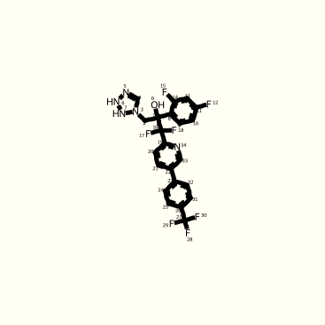 OC(CN1C=NNN1)(c1ccc(F)cc1F)C(F)(F)c1ccc(-c2ccc(C(F)(F)F)cc2)cn1